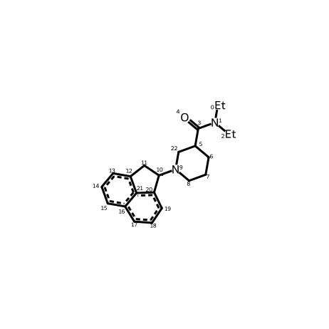 CCN(CC)C(=O)C1CCCN([C]2Cc3cccc4cccc2c34)C1